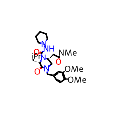 CNC(=O)C[C@H]1CN(Cc2ccc(OC)c(OC)c2)C(=O)[C@H](CC(C)C)N1C(=O)NN1CCCCC1